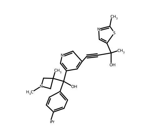 Cc1ncc(C(C)(O)C#Cc2cncc(C(O)(c3ccc(C(C)C)cc3)C3(C)CN(C)C3)c2)s1